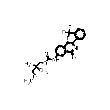 COCC(C)(C)COC(=O)Nc1ccc2cc(-c3ccccc3C(F)(F)F)[nH]c(=O)c2c1